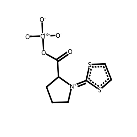 O=C(O[Cl+3]([O-])([O-])[O-])C1CCC[N+]1=c1sccs1